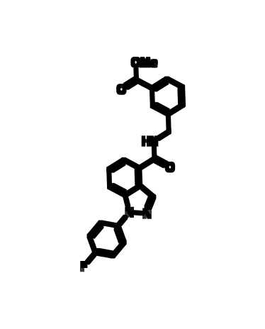 COC(=O)c1cccc(CNC(=O)c2cccc3c2cnn3-c2ccc(F)cc2)c1